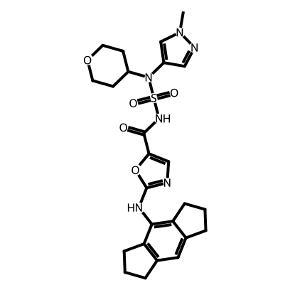 Cn1cc(N(C2CCOCC2)S(=O)(=O)NC(=O)c2cnc(Nc3c4c(cc5c3CCC5)CCC4)o2)cn1